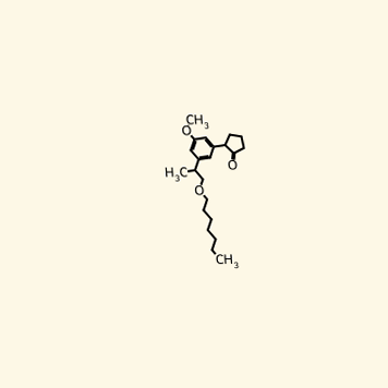 CCCCCCCOCC(C)c1cc(OC)cc(C2CCCC2=O)c1